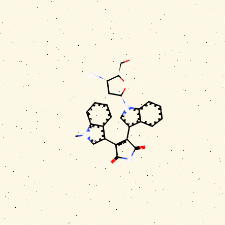 Cn1cc(C2=C(c3cn([C@H]4C[C@@H](N)[C@@H](CO)O4)c4ccccc34)C(=O)NC2=O)c2ccccc21